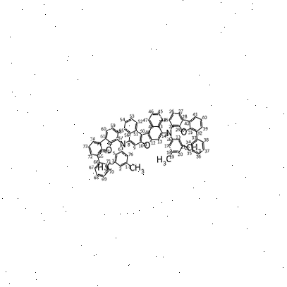 Cc1cc(C)cc(N(c2cc3oc4cc(N(c5cc(C)cc(C)c5)c5cccc6c5oc5c(-c7ccccc7)cccc56)c5ccccc5c4c3c3ccccc23)c2cccc3c2oc2c(-c4ccccc4)cccc23)c1